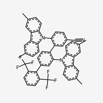 Cc1ccc2c(c1)c1cc(C)ccc1n2-c1ccc(C#N)cc1-c1ccc(-c2c(C(F)(F)F)cccc2C(F)(F)F)cc1-n1c2ccc(C)cc2c2cc(C)ccc21